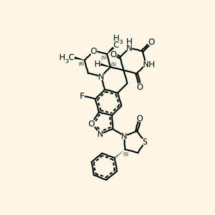 C[C@@H]1CN2c3c(cc4c(N5C(=O)SC[C@@H]5c5ccccc5)noc4c3F)CC3(C(=O)NC(=O)NC3=O)[C@H]2[C@H](C)O1